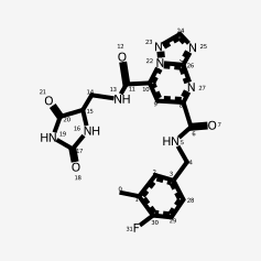 Cc1cc(CNC(=O)c2cc(C(=O)NCC3NC(=O)NC3=O)n3ncnc3n2)ccc1F